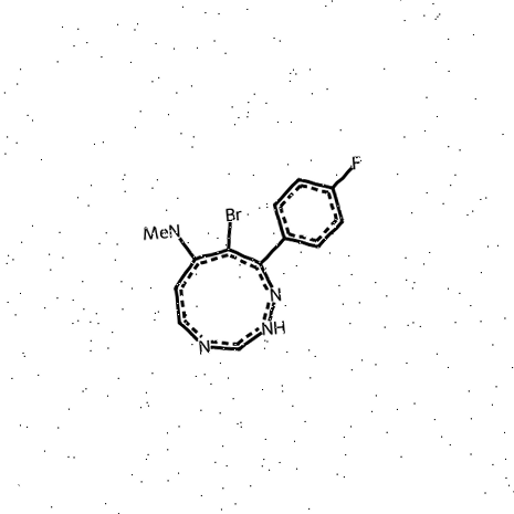 CNc1ccnc[nH]nc(-c2ccc(F)cc2)c1Br